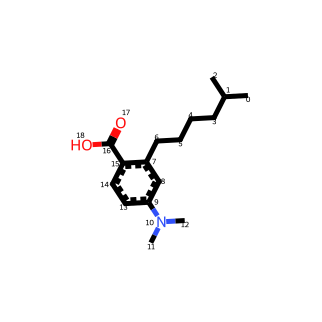 CC(C)CCCCc1cc(N(C)C)ccc1C(=O)O